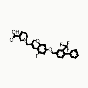 O=C(O)C1=CCCN(CC2=Cc3c(F)cc(OCc4ccc(-c5ccccc5)c(C(F)(F)F)c4)cc3OC2)C1